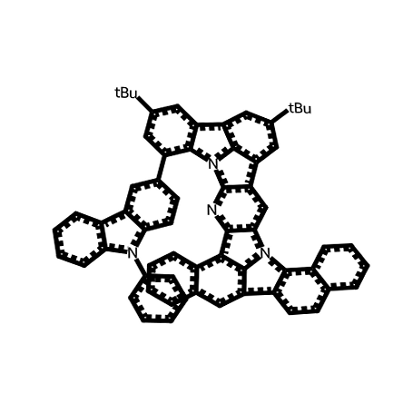 CC(C)(C)c1cc(-c2ccc3c(c2)c2ccccc2n3-c2ccccc2)c2c(c1)c1cc(C(C)(C)C)cc3c4cc5c(nc4n2c31)c1c2ccccc2cc2c3ccc4ccccc4c3n5c21